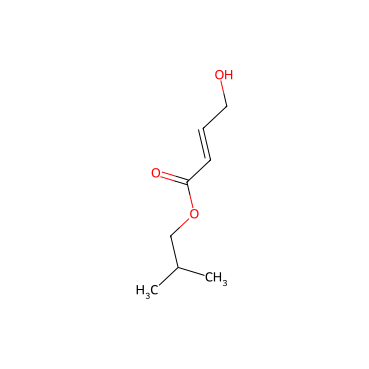 CC(C)COC(=O)C=CCO